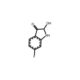 O=C1c2ccc(F)cc2NC1O